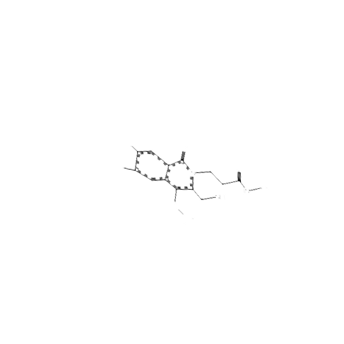 CCCCOc1c(CN)n(CCC(=O)NC(C)C)c(=O)c2cc(Cl)c(Cl)cc12.Cl